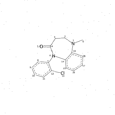 CN1CCC(=O)N(c2ccccc2Cl)c2ccccc21